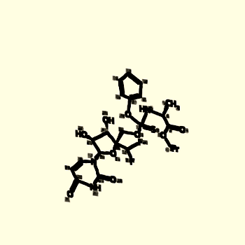 CC(C)OC(=O)[C@H](C)NP(=S)(OC[C@@]1(C(F)F)O[C@@H](n2ccc(=O)[nH]c2=O)[C@@H](O)[C@@H]1O)Oc1ccccc1